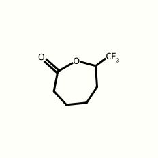 O=C1CCCCC(C(F)(F)F)O1